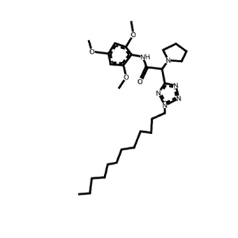 CCCCCCCCCCCCn1nnc(C(C(=O)Nc2c(OC)cc(OC)cc2OC)N2CCCC2)n1